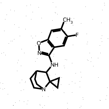 Cc1cc2onc(NC3C4CCN(CC4)C34CC4)c2cc1F